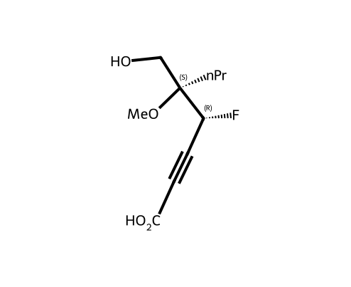 CCC[C@@](CO)(OC)[C@H](F)C#CC(=O)O